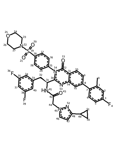 Cc1cc(F)ccc1-c1ccc2c(=O)n(-c3ccc(S(=O)(=O)N4CCOCC4)cc3)c([C@H](Cc3cc(F)cc(F)c3)NC(=O)Cn3ccc(C4CC4)n3)nc2c1